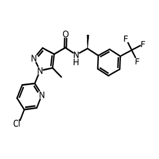 Cc1c(C(=O)N[C@@H](C)c2cccc(C(F)(F)F)c2)cnn1-c1ccc(Cl)cn1